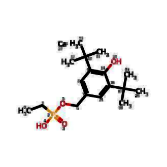 CCP(=O)(O)OCc1cc(C(C)(C)C)c(O)c(C(C)(C)C)c1.[Ca]